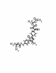 CC(=O)OC(C)OC(=O)NC(=N)c1ccc(-n2nc(C)n(-c3ccc(CCC(=O)OC(C)C)cc3)c2=O)cc1